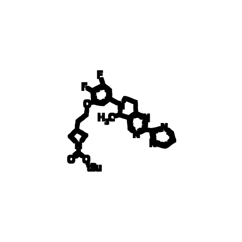 CC1c2cnc(-c3ncccn3)nc2CCN1c1cc(F)c(F)c(OCCC2CN(C(=O)OC(C)(C)C)C2)c1